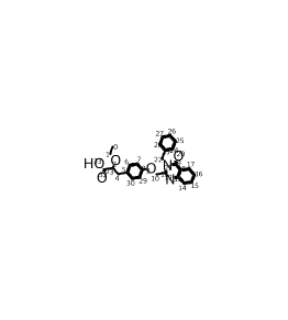 CCOC(Cc1ccc(OCc2nc3ccccc3c(=O)n2Cc2ccccc2)cc1)C(=O)O